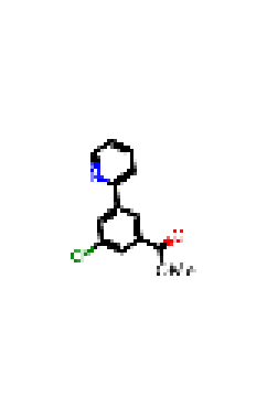 COC(=O)c1cc(Cl)cc(-c2ccccn2)c1